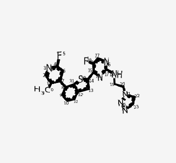 Cc1cnc(F)cc1-c1cccc2cc(-c3nc(NCCn4ccnn4)ncc3F)sc12